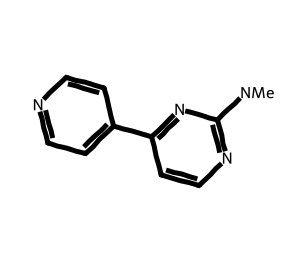 CNc1nccc(-c2ccncc2)n1